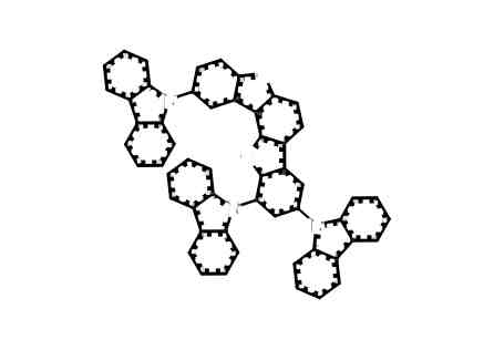 c1ccc2c(c1)c1ccccc1n2-c1cc(-n2c3ccccc3c3ccccc32)c2oc3c(ccc4oc5ccc(-n6c7ccccc7c7ccccc76)cc5c43)c2c1